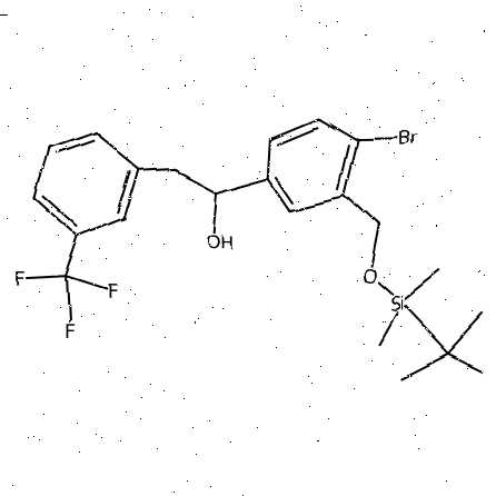 CC(C)(C)[Si](C)(C)OCc1cc(C(O)Cc2cccc(C(F)(F)F)c2)ccc1Br